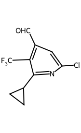 O=Cc1cc(Cl)nc(C2CC2)c1C(F)(F)F